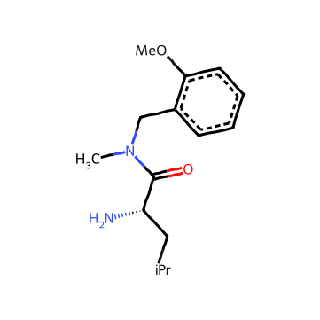 COc1ccccc1CN(C)C(=O)[C@@H](N)CC(C)C